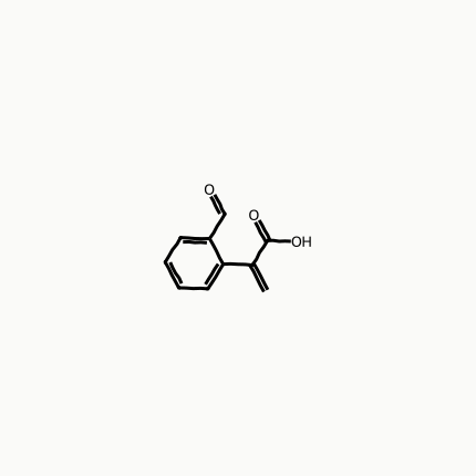 C=C(C(=O)O)c1ccccc1C=O